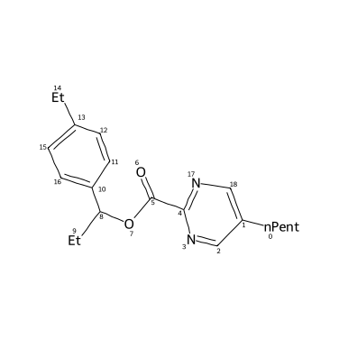 CCCCCc1cnc(C(=O)OC(CC)c2ccc(CC)cc2)nc1